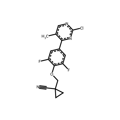 Cc1cnc(Cl)nc1-c1cc(F)c(OCC2(C#N)CC2)c(F)c1